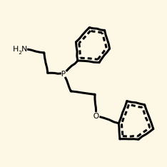 NCCP(CCOc1ccccc1)c1ccccc1